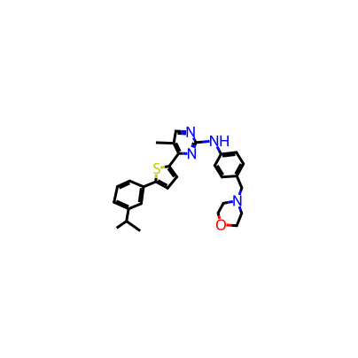 Cc1cnc(Nc2ccc(CN3CCOCC3)cc2)nc1-c1ccc(-c2cccc(C(C)C)c2)s1